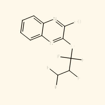 Oc1nc2ccccc2nc1OC(F)(F)C(F)C(F)F